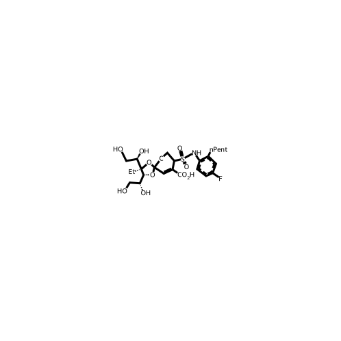 CCCCCc1cc(F)ccc1NS(=O)(=O)C1CCC2(C=C1C(=O)O)O[C@H]([C@H](O)CO)[C@@](CC)([C@H](O)CO)O2